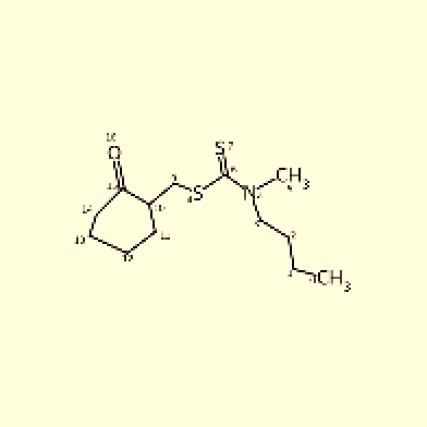 CCCCN(C)C(=S)SCC1CCCCC1=O